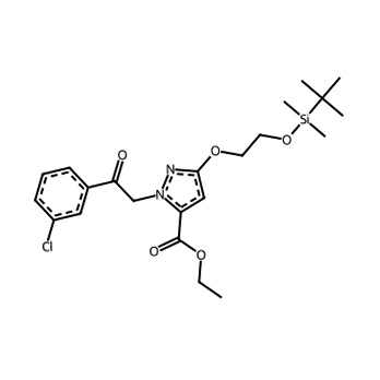 CCOC(=O)c1cc(OCCO[Si](C)(C)C(C)(C)C)nn1CC(=O)c1cccc(Cl)c1